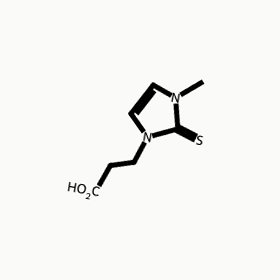 Cn1ccn(CCC(=O)O)c1=S